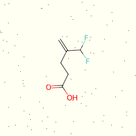 C=C(CCC(=O)O)C(F)F